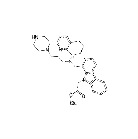 CC(C)(C)OC(=O)Cn1c2ccccc2c2ccnc(CN(CCCN3CCNCC3)[C@H]3CCCc4cccnc43)c21